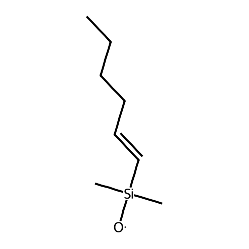 CCCCC=C[Si](C)(C)[O]